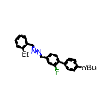 CCCCc1ccc(-c2ccc(C=NN=Cc3ccccc3CC)cc2F)cc1